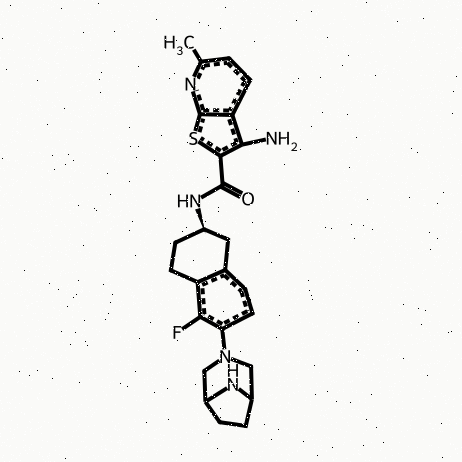 Cc1ccc2c(N)c(C(=O)N[C@@H]3CCc4c(ccc(N5CC6CCC(C5)N6)c4F)C3)sc2n1